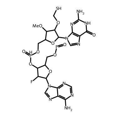 COC1C(CO[PH](=O)OC2C(COP=O)OC(n3cnc4c(N)ncnc43)C2F)OC(n2cnc3c(=O)[nH]c(N)nc32)C1OCS